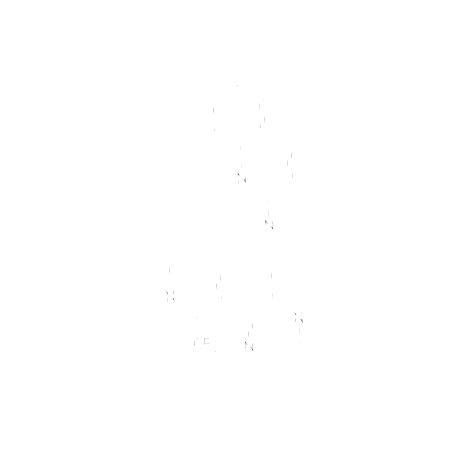 FC(F)(F)c1ncccc1-c1nccnc1C1CN(c2ccc3ccccc3n2)C1